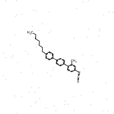 CCCCCCCc1ccc(-c2ccc(-c3ccc(N=C=S)cc3C)cc2)cc1